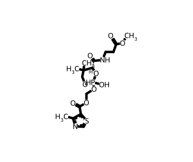 COC(=O)CCNC(=O)[C@@H]1O[PH](O)(OCOC(=O)c2scnc2C)OCC1(C)C